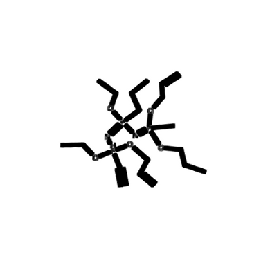 C#C[PH](N=P(CCC)(N=P(C)(OCC=C)OCCC)OCC)(OCC)OCC=C